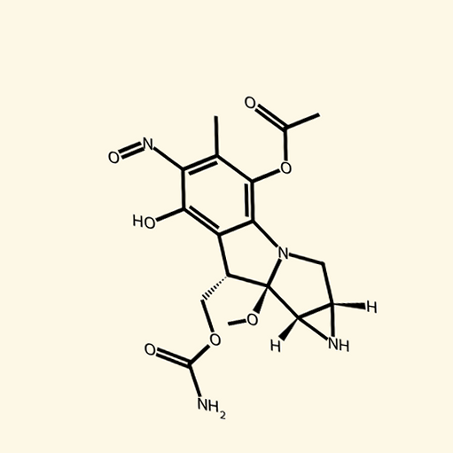 CO[C@@]12[C@H](COC(N)=O)c3c(O)c(N=O)c(C)c(OC(C)=O)c3N1C[C@@H]1N[C@@H]12